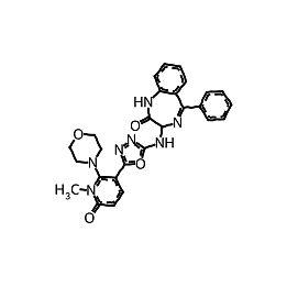 Cn1c(N2CCOCC2)c(-c2nnc(NC3N=C(c4ccccc4)c4ccccc4NC3=O)o2)ccc1=O